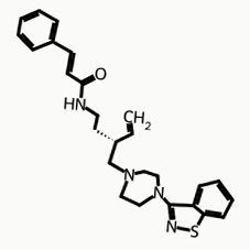 C=C[C@@H](CCNC(=O)/C=C/c1ccccc1)CN1CCN(c2nsc3ccccc23)CC1